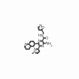 Cn1ccc(-c2nc(N)c(C(=O)NCc3ccno3)nc2-c2ccc3ncccc3c2)n1